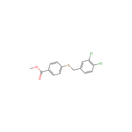 COC(=O)c1ccc(SCc2ccc(Cl)c(Cl)c2)cc1